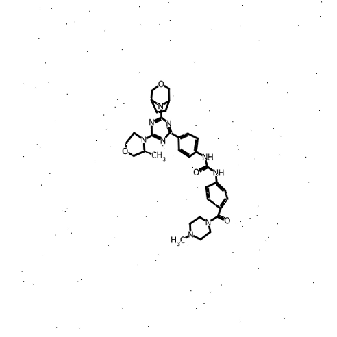 C[C@H]1COCCN1c1nc(-c2ccc(NC(=O)Nc3ccc(C(=O)N4CCN(C)CC4)cc3)cc2)nc(N2C3CCC2COC3)n1